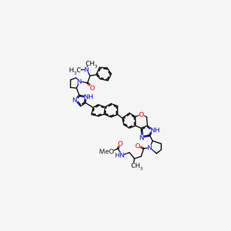 COC(=O)NCC(C)CC(=O)N1CCCC1c1nc2c([nH]1)COc1cc(-c3ccc4cc(-c5cnc(C6CCCN6C(=O)C(c6ccccc6)N(C)C)[nH]5)ccc4c3)ccc1-2